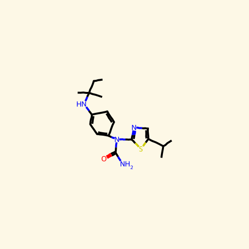 CCC(C)(C)Nc1ccc(N(C(N)=O)c2ncc(C(C)C)s2)cc1